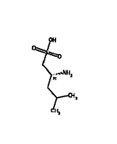 CC(C)C[C@@H](N)CS(=O)(=O)O